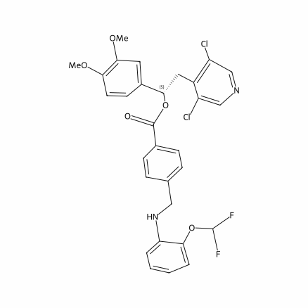 COc1ccc([C@H](Cc2c(Cl)cncc2Cl)OC(=O)c2ccc(CNc3ccccc3OC(F)F)cc2)cc1OC